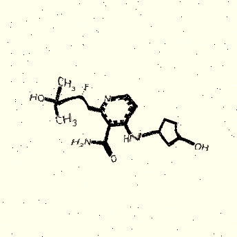 CC(C)(O)[C@H](F)Cc1nccc(NC2CCC(O)C2)c1C(N)=O